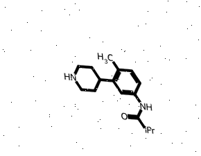 Cc1ccc(NC(=O)C(C)C)cc1C1CCNCC1